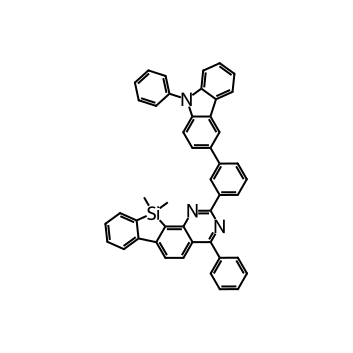 C[Si]1(C)c2ccccc2-c2ccc3c(-c4ccccc4)nc(-c4cccc(-c5ccc6c(c5)c5ccccc5n6-c5ccccc5)c4)nc3c21